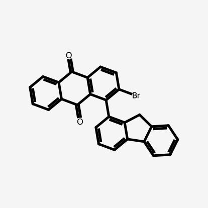 O=C1c2ccccc2C(=O)c2c1ccc(Br)c2-c1cccc2c1Cc1ccccc1-2